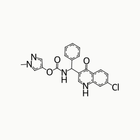 Cn1cc(OC(=O)NC(c2ccccc2)c2c[nH]c3cc(Cl)ccc3c2=O)cn1